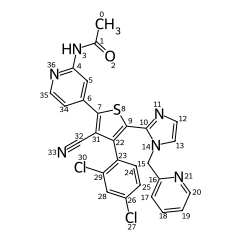 CC(=O)Nc1cc(-c2sc(-c3nccn3Cc3ccccn3)c(-c3ccc(Cl)cc3Cl)c2C#N)ccn1